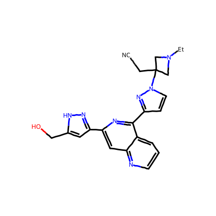 CCN1CC(CC#N)(n2ccc(-c3nc(-c4cc(CO)[nH]n4)cc4ncccc34)n2)C1